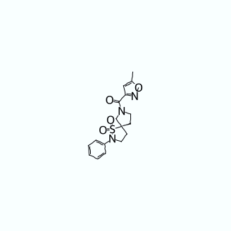 Cc1cc(C(=O)N2CC[C@]3(CCN(c4ccccc4)S3(=O)=O)C2)no1